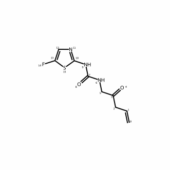 C=CCC(=O)CNC(=O)Nc1ncc(F)s1